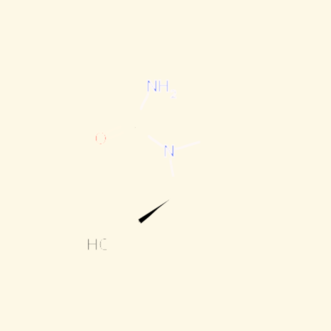 C#C[C@@H]1CCCN1C(N)=O